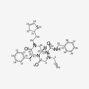 C#CCN1CC(=O)N2[C@@H](Cc3ccccc3)C(=O)N(CCC3CC=CS3)C[C@@H]2N1C(=O)NCc1ccccc1